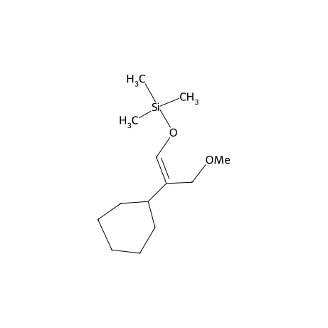 COCC(=CO[Si](C)(C)C)C1CCCCC1